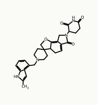 Cc1cc2c(CN3CCC4(CC3)COC3=C5CN(C6CCC(=O)NC6=O)C(=O)C5=CCC34)cccc2[nH]1